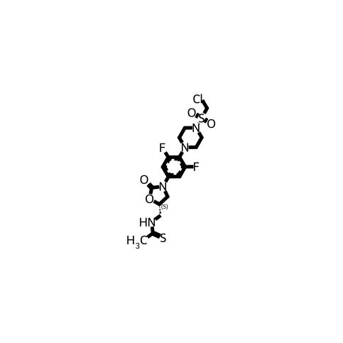 CC(=S)NC[C@H]1CN(c2cc(F)c(N3CCN(S(=O)(=O)CCl)CC3)c(F)c2)C(=O)O1